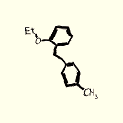 CCOc1ccccc1Cc1ccc(C)cc1